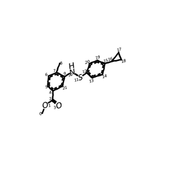 COC(=O)c1ccc(C)c(NSc2ccc(C3CC3)cc2)c1